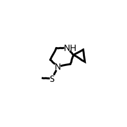 CSN1CCNC2(CC2)C1